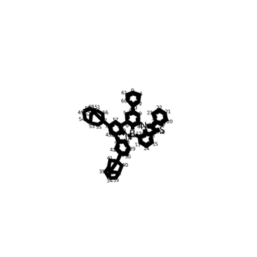 c1ccc(-c2cc3c4c(c2)-n2c5c(cccc5c5sc6ccccc6c52)B4n2c4ccc(C56CC7CC(CC(C7)C5)C6)cc4c4cc(C56CC7CC(CC(C7)C5)C6)cc-3c42)cc1